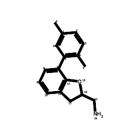 Cc1ccc(C)c(-c2cccc3c2OC(CN)C3)c1